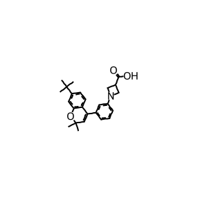 CC1(C)C=C(c2cccc(N3CC(C(=O)O)C3)c2)c2ccc(C(C)(C)C)cc2O1